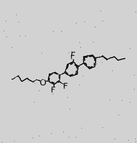 CCCCCCOc1ccc(-c2ccc(-c3ccc(CCCCC)cc3)c(F)c2)c(F)c1F